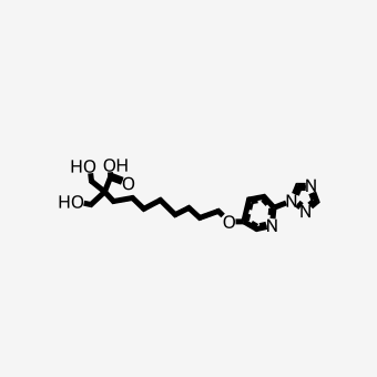 O=C(O)C(CO)(CO)CCCCCCCCOc1ccc(-n2cncn2)nc1